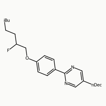 CCCCCCCCCCc1cnc(-c2ccc(OCC(F)CCC(C)CC)cc2)nc1